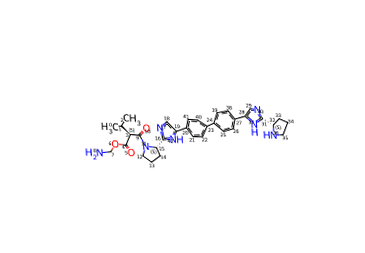 CC(C)[C@H](C(=O)OCN)C(=O)N1CCC[C@H]1c1ncc(-c2ccc(-c3ccc(-c4cnc([C@@H]5CCCN5)[nH]4)cc3)cc2)[nH]1